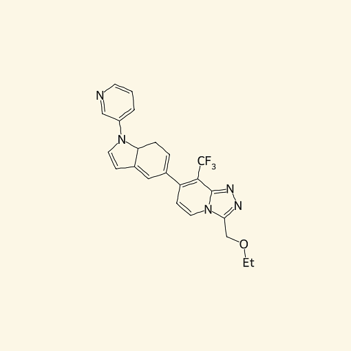 CCOCc1nnc2c(C(F)(F)F)c(C3=CCC4C(=C3)C=CN4c3cccnc3)ccn12